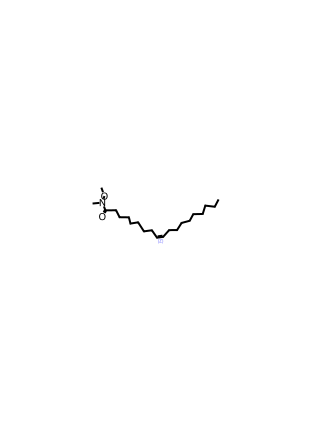 CCCCCCCCC/C=C\CCCCCCCC(=O)N(C)OC